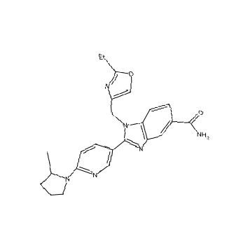 CCc1nc(Cn2c(-c3ccc(N4CCCC4C)nc3)nc3cc(C(N)=O)ccc32)co1